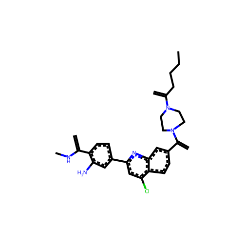 C=C(NC)c1ccc(-c2cc(Cl)c3ccc(C(=C)N4CCN(C(=C)CCCC)CC4)cc3n2)cc1N